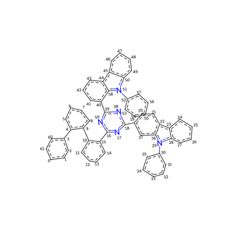 c1ccc(-c2ccccc2-c2ccccc2-c2nc(-c3ccc4c5ccccc5n(-c5ccccc5)c4c3)nc(-c3cccc4c5ccccc5n(-c5ccccc5)c34)n2)cc1